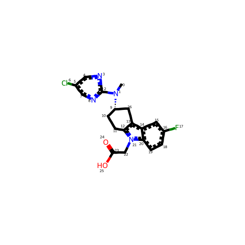 CN(c1ncc(Cl)cn1)[C@H]1CCc2c(c3cc(F)ccc3n2CC(=O)O)C1